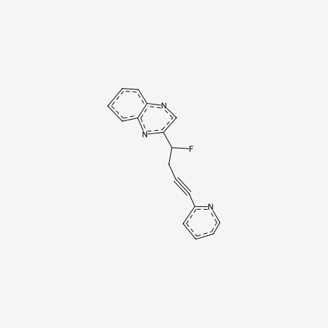 FC(CC#Cc1ccccn1)c1cnc2ccccc2n1